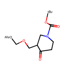 COCOCC1CN(C(=O)OC(C)(C)C)CCC1=O